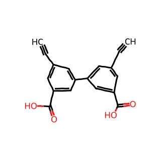 C#Cc1cc(C(=O)O)cc(-c2cc(C#C)cc(C(=O)O)c2)c1